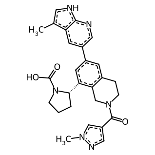 Cc1c[nH]c2ncc(-c3cc4c(c([C@@H]5CCCN5C(=O)O)c3)CN(C(=O)c3cnn(C)c3)CC4)cc12